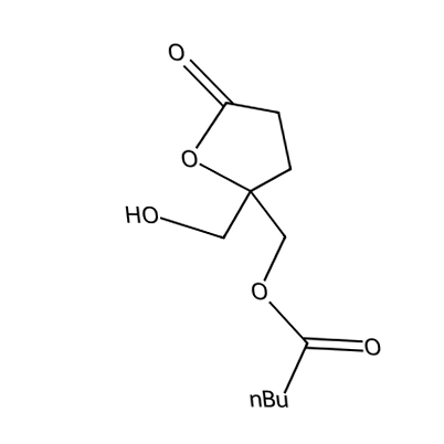 CCCCC(=O)OCC1(CO)CCC(=O)O1